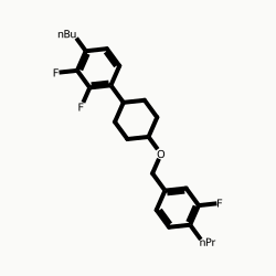 CCCCc1ccc(C2CCC(OCc3ccc(CCC)c(F)c3)CC2)c(F)c1F